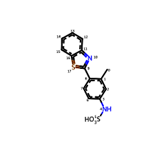 Cc1cc(NS(=O)(=O)O)ccc1-c1nc2ccccc2s1